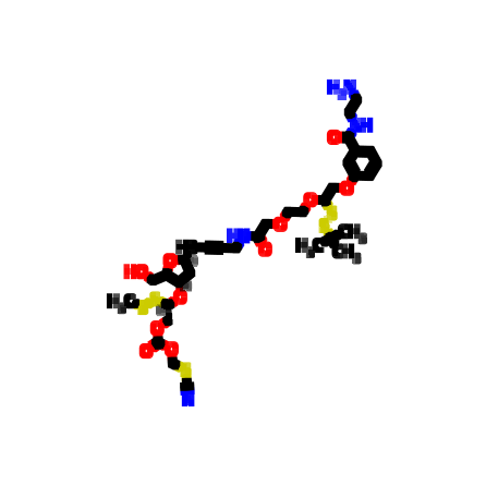 CSS[C@@H](COC(=O)OCSC#N)O[C@@H]1C[C@H](BC#CCNC(=O)COCCOC(COc2cccc(C(=O)NCCN)c2)SSC(C)(C)C)OC1CO